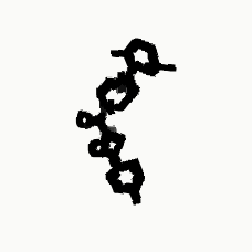 Cc1ccc(C2C[C@H](C(=O)N3CCN(c4cc(C)ccc4C)CC3)O2)cc1